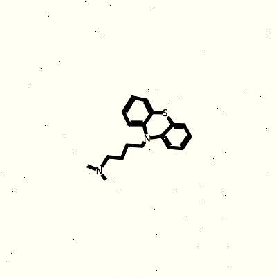 CN(C)CCCCN1c2ccccc2Sc2ccccc21